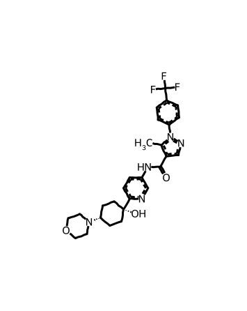 Cc1c(C(=O)Nc2ccc([C@]3(O)CC[C@@H](N4CCOCC4)CC3)nc2)cnn1-c1ccc(C(F)(F)F)cc1